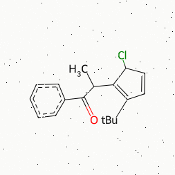 CC(C(=O)c1ccccc1)C1=C(C(C)(C)C)C=CC1Cl